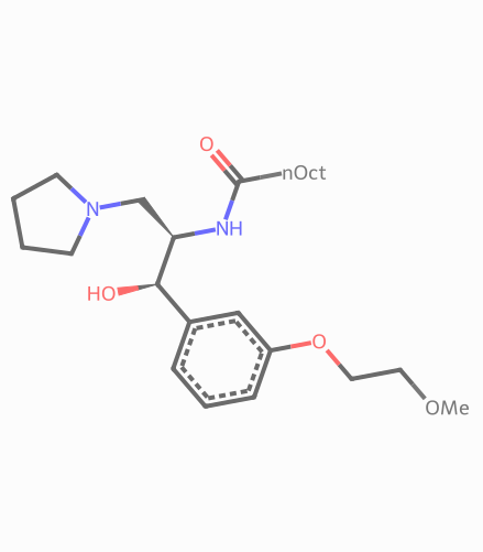 CCCCCCCCC(=O)N[C@H](CN1CCCC1)[C@H](O)c1cccc(OCCOC)c1